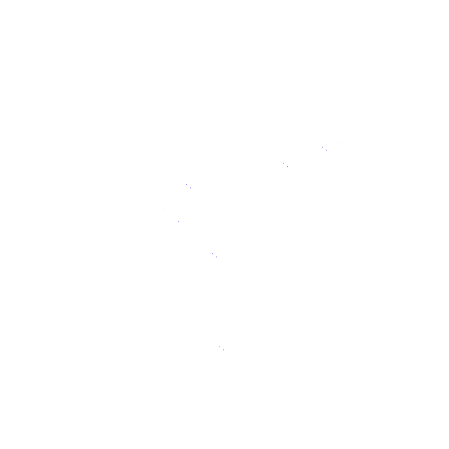 CC(=O)N1CCN(c2ccc(CN(C(=O)/C=C\c3ccc(Cl)cc3)[C@@H](Cc3ccccc3)C(=O)N3CCN(Cc4ccc(N(C)C)cc4)CC3)cc2)CC1